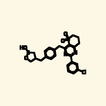 O=S1(=O)CCCc2nc(-c3cccc(Cl)c3)nc(Cc3ccc(CC4COB(O)C4)cc3)c21